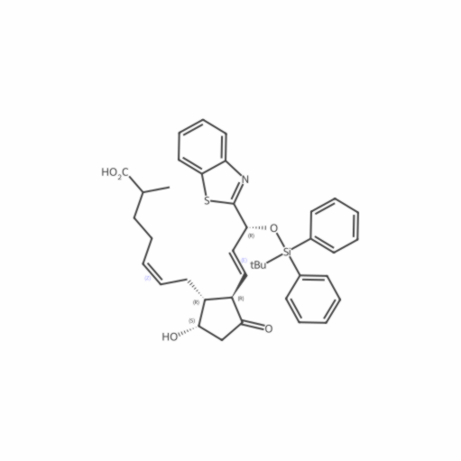 CC(CC/C=C\C[C@H]1[C@@H](O)CC(=O)[C@@H]1/C=C/[C@@H](O[Si](c1ccccc1)(c1ccccc1)C(C)(C)C)c1nc2ccccc2s1)C(=O)O